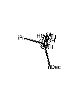 CCCCCCCCCCCCCCCCCCCCCCC(O)C(=O)N[C@H](CO[C@H]1O[C@H](CO)[C@@H](O)[C@H](O)[C@H]1O)[C@H](O)[C@H](O)CCCCCCCCCCCC(C)C